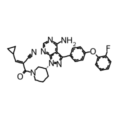 N#C/C(=C\C1CC1)C(=O)N1CCC[C@@H](n2nc(-c3ccc(Oc4ccccc4F)cc3)c3c(N)ncnc32)C1